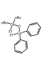 CCC[CH2][Ge]([CH2]C)([CH2]CCC)[O][Ge]([CH2]C)([c]1ccccc1)[c]1ccccc1